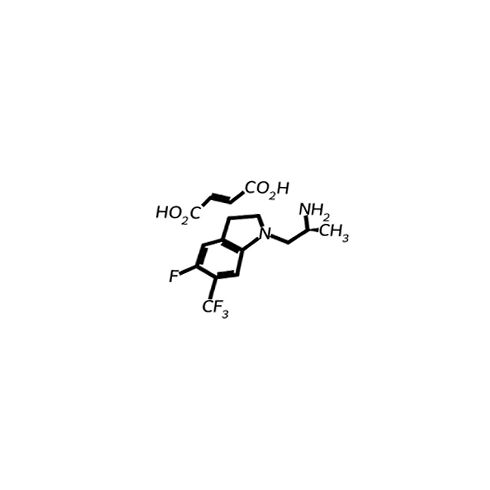 C[C@H](N)CN1CCc2cc(F)c(C(F)(F)F)cc21.O=C(O)C=CC(=O)O